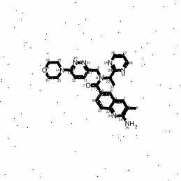 Cc1cc2cc(C(=O)N(Cc3ccc(N4CCOCC4)nn3)C(C)c3ncccn3)ccc2nc1N